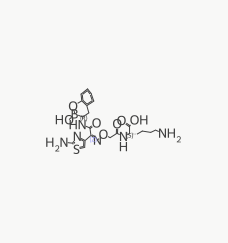 NCCCC[C@H](NC(=O)CO/N=C(\C(=O)N[C@H]1Cc2ccccc2OB1O)c1csc(N)n1)C(=O)O